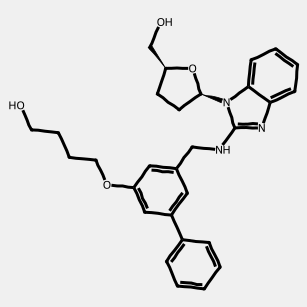 OCCCCOc1cc(CNc2nc3ccccc3n2[C@H]2CC[C@@H](CO)O2)cc(-c2ccccc2)c1